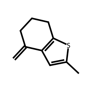 C=C1CCCc2sc(C)cc21